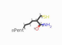 CCCCCCCCC(CS)C(N)=O